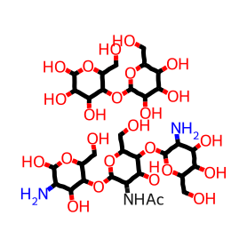 CC(=O)NC1C(OC2C(CO)OC(O)C(N)C2O)OC(CO)C(OC2OC(CO)C(O)C(O)C2N)C1O.OCC1OC(OC2C(CO)OC(O)C(O)C2O)C(O)C(O)C1O